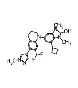 CN1c2cc(N3CCCc4cc(-c5cnn(C)c5)c(C(F)F)cc43)cc(C3CCC3)c2N(C)C1O